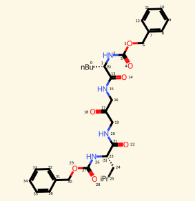 CCCC[C@H](NC(=O)OCc1ccccc1)C(=O)NCC(=O)CNC(=O)[C@H](CC(C)C)NC(=O)OCc1ccccc1